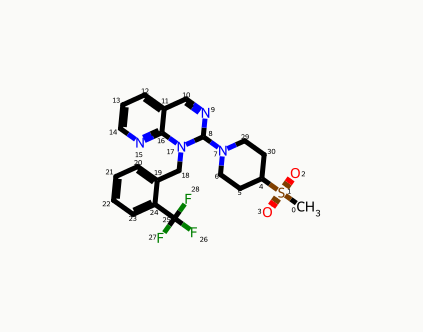 CS(=O)(=O)C1CCN(C2N=Cc3cccnc3N2Cc2ccccc2C(F)(F)F)CC1